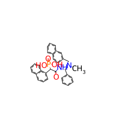 CN(Cc1ccccc1)Cc1cc2ccccc2cc1NC(=O)C(c1cccc2ccccc12)P(=O)(O)O